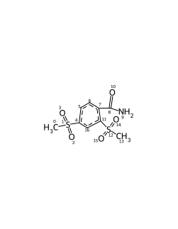 CS(=O)(=O)c1ccc(C(N)=O)c(S(C)(=O)=O)c1